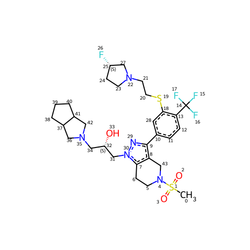 CS(=O)(=O)N1CCc2c(c(-c3ccc(C(F)(F)F)c(SCCN4CC[C@H](F)C4)c3)nn2C[C@@H](O)CN2CC3CCCC3C2)C1